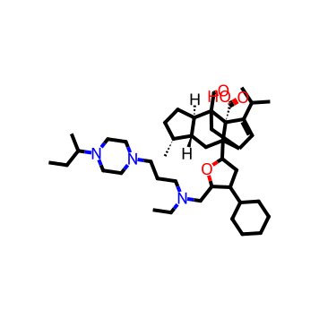 CCC(C)N1CCN(CCCN(CC)CC2OC(C34C[C@@H]5[C@H](C)CC[C@H]5C5(C=O)CC3C=C(C(C)C)[C@@]45C(=O)O)CC2C2CCCCC2)CC1